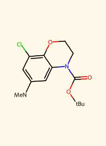 CNc1cc(Cl)c2c(c1)N(C(=O)OC(C)(C)C)CCO2